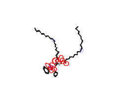 CCCCCCCC/C=C\CCCCCCCC(=O)OC[C@H](COP(=O)(Oc1ccccc1)Oc1ccccc1)OC(=O)CCCCCCC/C=C\CCCCCCCC